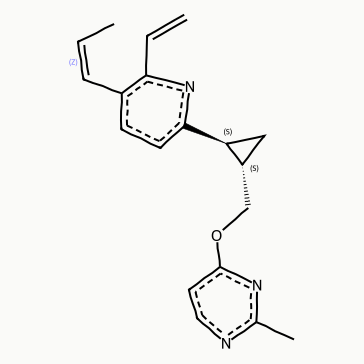 C=Cc1nc([C@H]2C[C@@H]2COc2ccnc(C)n2)ccc1/C=C\C